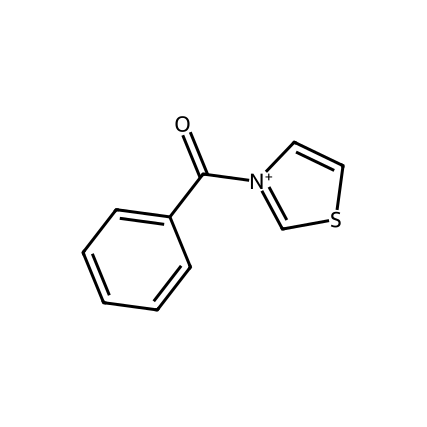 O=C(c1ccccc1)[n+]1ccsc1